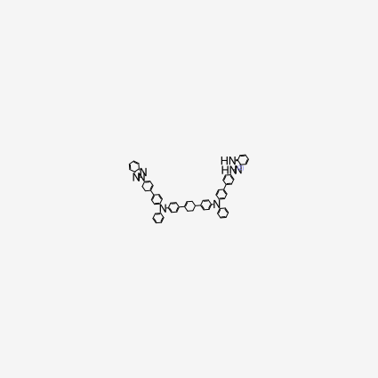 N=C1C=CC=C/C1=N/Nc1ccc(-c2ccc(N(c3ccccc3)c3ccc(C4CC=C(c5ccc(N(c6ccccc6)c6ccc(C7=CC=C(n8nc9ccccc9n8)CC7)cc6)cc5)CC4)cc3)cc2)cc1